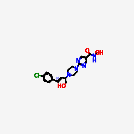 O=C(NO)c1cnc(N2CCN(C(/C=C/c3ccc(Cl)cc3)CO)CC2)nc1